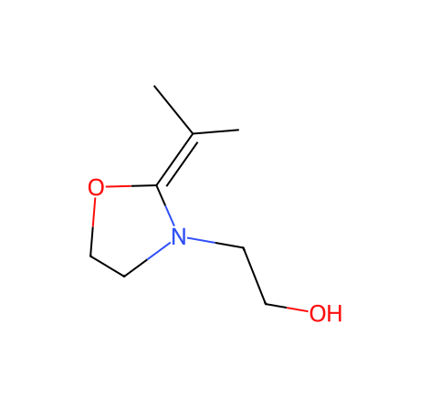 CC(C)=C1OCCN1CCO